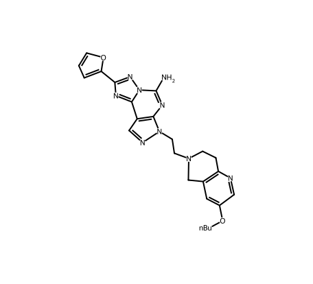 CCCCOc1cnc2c(c1)CN(CCn1ncc3c1nc(N)n1nc(-c4ccco4)nc31)CC2